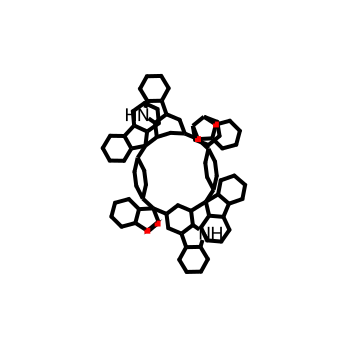 C1CCC2C(C1)NC1C2CC2CC1C1(C3CCC(CC3)C3(C4CC5C6CCCCC6NC5C(C4)C4(C5CCC(CC5)C25C2CCCCC2C2CCCCC25)C2CCCCC2C2CCCCC24)C2CCCCC2C2CCCCC23)C2CCCCC2C2CCCCC21